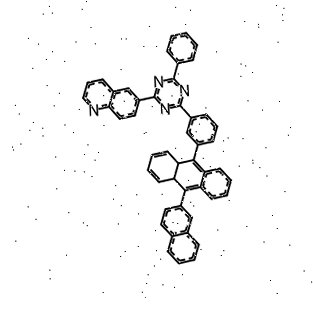 C1=CC2C(c3cccc(-c4nc(-c5ccccc5)nc(-c5ccc6ncccc6c5)n4)c3)=c3ccccc3=C(c3ccc4ccccc4c3)C2C=C1